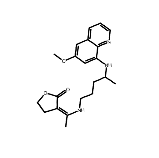 COc1cc(NC(C)CCCNC(C)=C2CCOC2=O)c2ncccc2c1